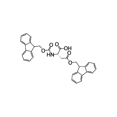 O=C(C[C@H](NC(=O)OCC1c2ccccc2-c2ccccc21)C(=O)O)OCC1c2ccccc2-c2ccccc21